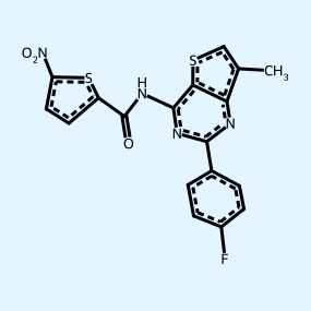 Cc1csc2c(NC(=O)c3ccc([N+](=O)[O-])s3)nc(-c3ccc(F)cc3)nc12